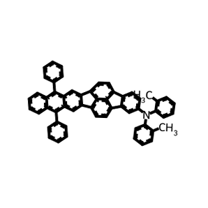 Cc1ccccc1N(c1ccc2c(c1)-c1ccc3c4c(ccc-2c14)-c1cc2c(-c4ccccc4)c4ccccc4c(-c4ccccc4)c2cc1-3)c1ccccc1C